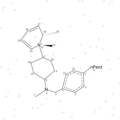 CCCCCc1ccc(CN(C)C2CCC([N@+]3(C)C=CC=C[C@@H]3C)CC2)cc1